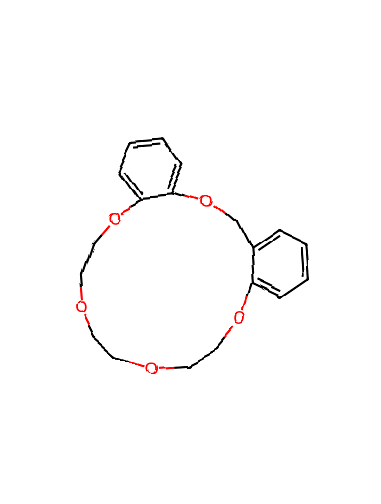 c1ccc2c(c1)COc1ccccc1OCCOCCOCCO2